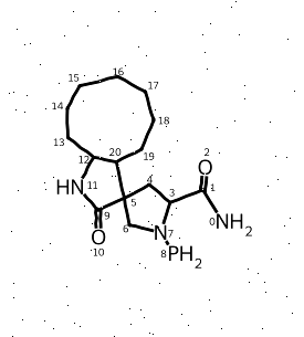 NC(=O)C1CC2(CN1P)C(=O)NC1CCCCCCCC12